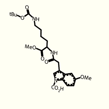 COC(=O)C(CCCCNC(=O)OC(C)(C)C)NC(=O)Cc1cn(C(=O)O)c2ccc(OC)cc12